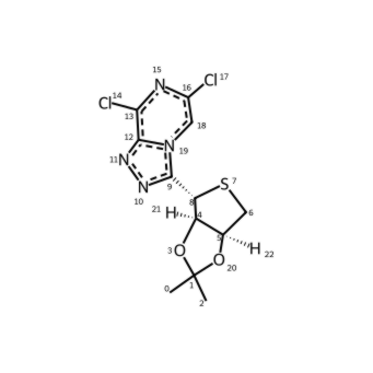 CC1(C)O[C@@H]2[C@@H](CS[C@H]2c2nnc3c(Cl)nc(Cl)cn23)O1